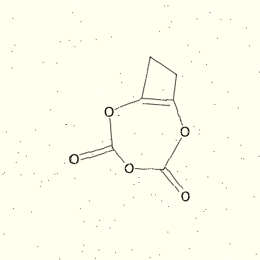 O=C1OC(=O)OC2=C(CC2)O1